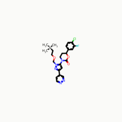 C[Si](C)(C)CCOCn1nc(-c2ccnnc2)cc1N1CCC(c2ccc(Cl)c(F)c2)OC1=O